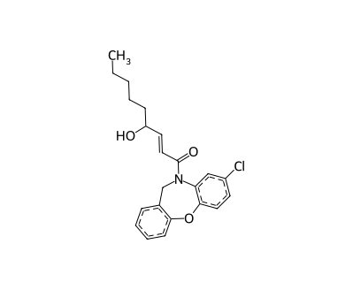 CCCCCC(O)C=CC(=O)N1Cc2ccccc2Oc2ccc(Cl)cc21